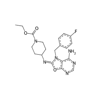 CCOC(=O)N1CCC(N=c2oc3ncnc(N)c3n2Cc2ccc(F)cc2)CC1